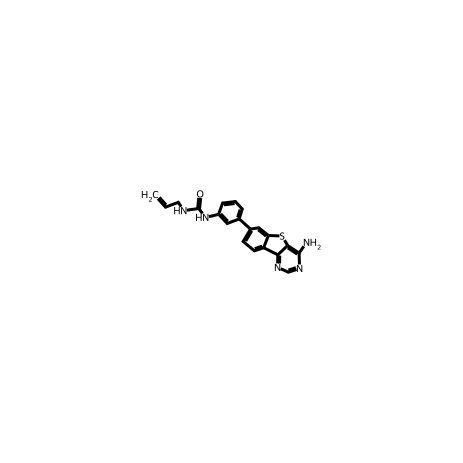 C=CCNC(=O)Nc1cccc(-c2ccc3c(c2)sc2c(N)ncnc23)c1